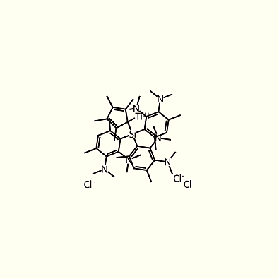 CC1=C(C)[C]([Ti+3])([Si](c2c(C)cc(C)c(N(C)C)c2N(C)C)(c2c(C)cc(C)c(N(C)C)c2N(C)C)c2c(C)cc(C)c(N(C)C)c2N(C)C)C(C)=C1C.[Cl-].[Cl-].[Cl-]